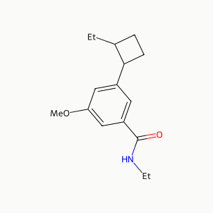 CCNC(=O)c1cc(OC)cc(C2CCC2CC)c1